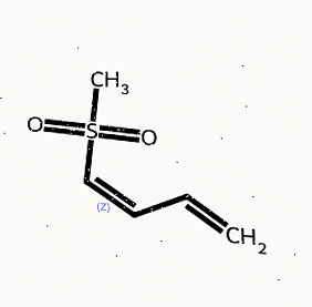 C=C/C=C\S(C)(=O)=O